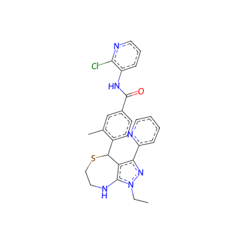 CCn1nc(-c2ccccn2)c2c1NCCSC2c1ccc(C(=O)Nc2cccnc2Cl)cc1C